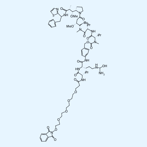 CC[C@H](C)[C@@H]([C@@H](CC(=O)N1CCC[C@H]1[C@H](OC)[C@@H](C)C(=O)NC(Cc1ccccc1)c1nccs1)OC)N(C)C(=O)[C@@H](NC(=O)[C@H](C(C)C)N(C)C(=O)OCc1ccc(NC(=O)[C@H](CCCNC(N)O)NC(=O)[C@@H](NC(=O)CCOCCOCCOCCOCCON2C(=O)c3ccccc3C2=O)C(C)C)cc1)C(C)C